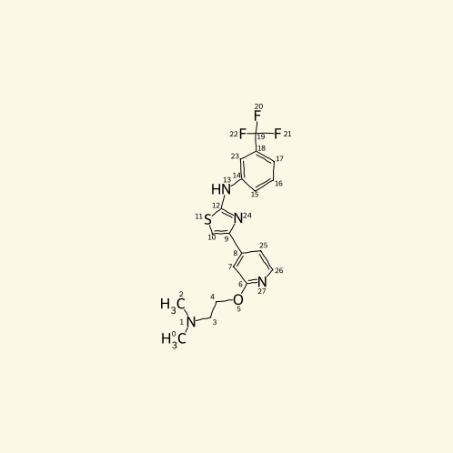 CN(C)CCOc1cc(-c2csc(Nc3cccc(C(F)(F)F)c3)n2)ccn1